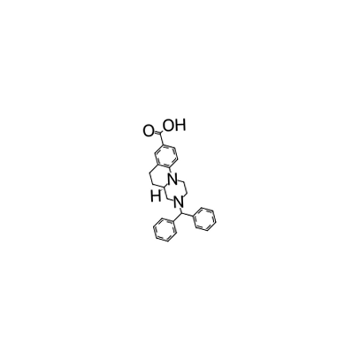 O=C(O)c1ccc2c(c1)CC[C@@H]1CN(C(c3ccccc3)c3ccccc3)CCN21